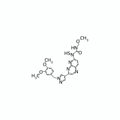 COCNC(=O)N(S)c1ccc2ncc(-c3cnn(Cc4ccc(OC)c(OC)c4)c3)nc2n1